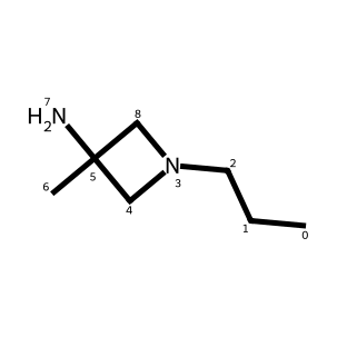 CCCN1CC(C)(N)C1